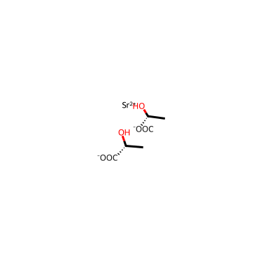 C[C@@H](O)C(=O)[O-].C[C@@H](O)C(=O)[O-].[Sr+2]